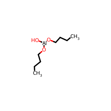 CCCC[O][Al]([OH])[O]CCCC